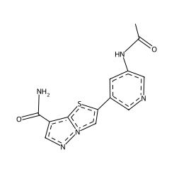 CC(=O)Nc1cncc(-c2cn3ncc(C(N)=O)c3s2)c1